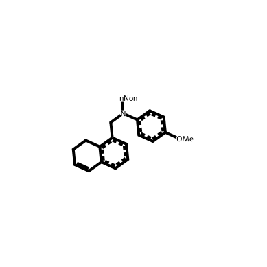 CCCCCCCCCN(Cc1cccc2c1CCC=C2)c1ccc(OC)cc1